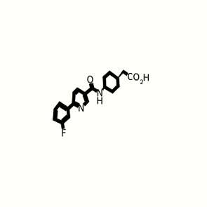 O=C(O)C[C@H]1CC[C@@H](NC(=O)c2ccc(-c3cccc(F)c3)nc2)CC1